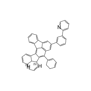 C1=CCCC(c2c3c(c4c5c(cc(-c6cccc(-c7ccccn7)c6)cc25)-c2ccccc2-4)C2=CC=C[C@@H]4CC=C[C@H]3C24)=C1